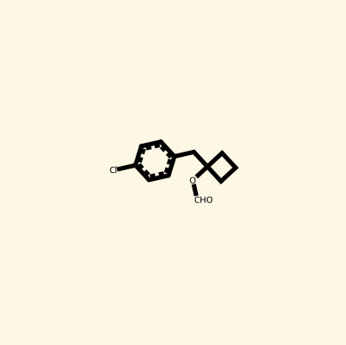 O=COC1(Cc2ccc(Cl)cc2)CCC1